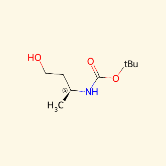 C[C@@H](CCO)NC(=O)OC(C)(C)C